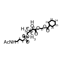 CC(=O)NCCCS(=O)(=O)OCC(C)(C)[C@@H](O)C(=O)OCOC(=O)C1CCCCC1